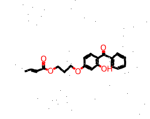 CC=CC(=O)OCCCOc1ccc(C(=O)c2ccccc2)c(O)c1